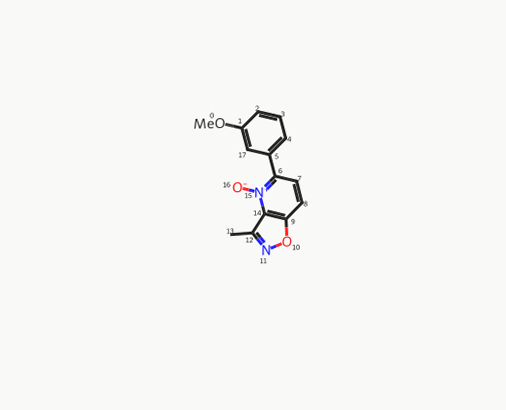 COc1cccc(-c2ccc3onc(C)c3[n+]2[O-])c1